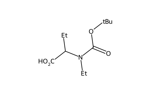 CCC(C(=O)O)N(CC)C(=O)OC(C)(C)C